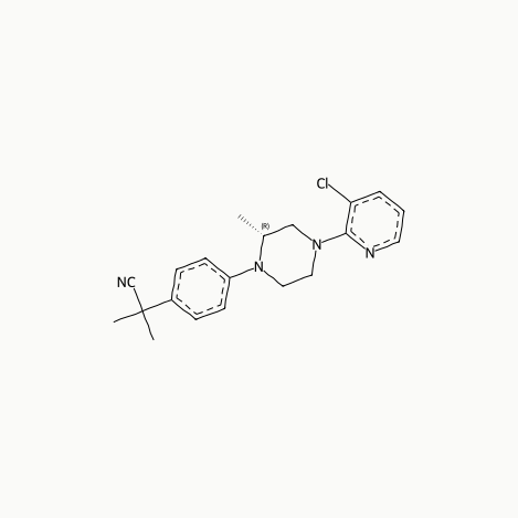 C[C@@H]1CN(c2ncccc2Cl)CCN1c1ccc(C(C)(C)C#N)cc1